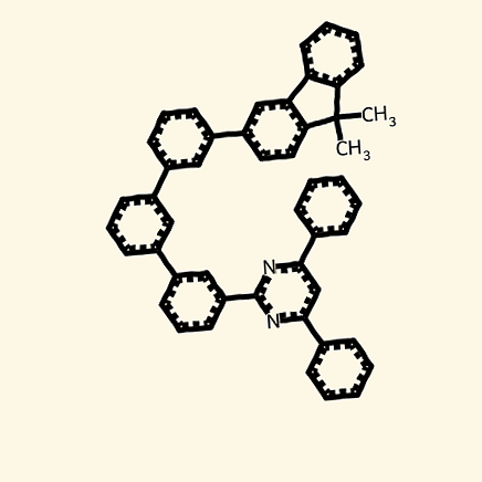 CC1(C)c2ccccc2-c2cc(-c3cccc(-c4cccc(-c5cccc(-c6nc(-c7ccccc7)cc(-c7ccccc7)n6)c5)c4)c3)ccc21